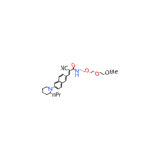 CCCC1CCCCN1c1ccc2cc(/C=C(\C#N)C(=O)NCCOCCOCCOC)ccc2c1